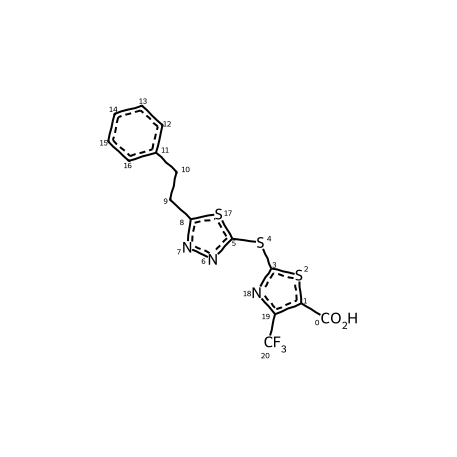 O=C(O)c1sc(Sc2nnc(CCc3ccccc3)s2)nc1C(F)(F)F